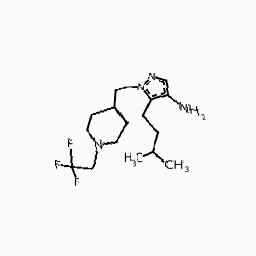 CC(C)CCc1c(N)cnn1CC1CCN(CC(F)(F)F)CC1